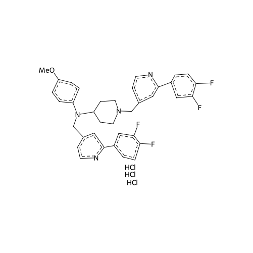 COc1ccc(N(Cc2ccnc(-c3ccc(F)c(F)c3)c2)C2CCN(Cc3ccnc(-c4ccc(F)c(F)c4)c3)CC2)cc1.Cl.Cl.Cl